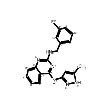 Cc1cc(Nc2nc(NCc3cccc(F)c3)nc3ccccc23)n[nH]1